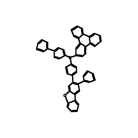 c1ccc(-c2ccc(N(c3ccc(-c4cc5oc6ccccc6c5cc4-c4ccccc4)cc3)c3ccc4c5ccccc5c5ccccc5c4c3)cc2)cc1